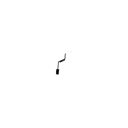 C#CC=COC